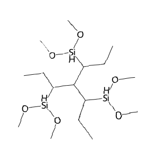 CCC(C(C(CC)[SiH](OC)OC)C(CC)[SiH](OC)OC)[SiH](OC)OC